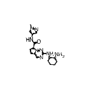 Cn1cc(NC(=O)c2ccc3cnc(N[C@@H]4CCCC[C@@H]4N)nn23)cn1